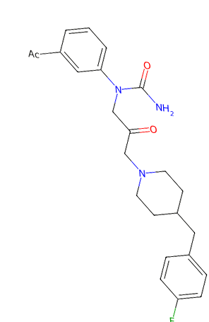 CC(=O)c1cccc(N(CC(=O)CN2CCC(Cc3ccc(F)cc3)CC2)C(N)=O)c1